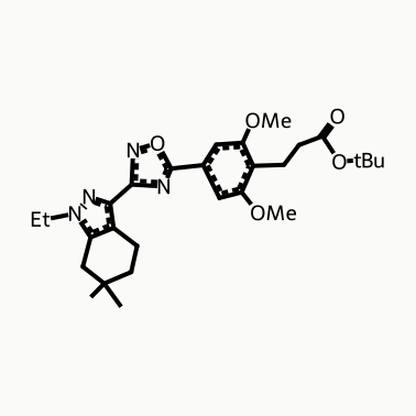 CCn1nc(-c2noc(-c3cc(OC)c(CCC(=O)OC(C)(C)C)c(OC)c3)n2)c2c1CC(C)(C)CC2